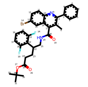 Cc1c(-c2ccccc2)nc2ccc(Br)cc2c1C(=O)NCC(CCC(=O)OC(C)(C)C)c1c(F)cccc1F